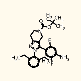 CCc1cccc(CC)c1-n1nc2c(c1-c1cc(F)c(N)cc1F)CN(C(=O)OC(C)(C)C)CC2